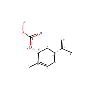 C=C(C)[C@@H]1CC=C(C)[C@H](OC(=O)OC)C1